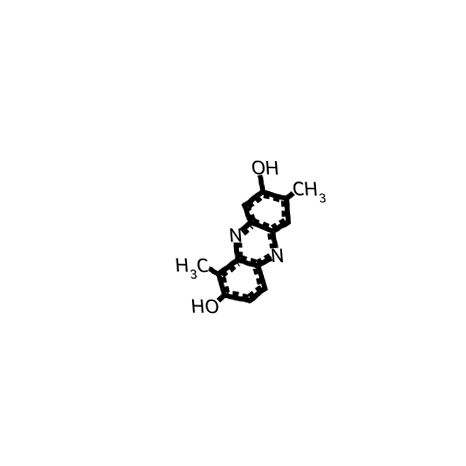 Cc1cc2nc3ccc(O)c(C)c3nc2cc1O